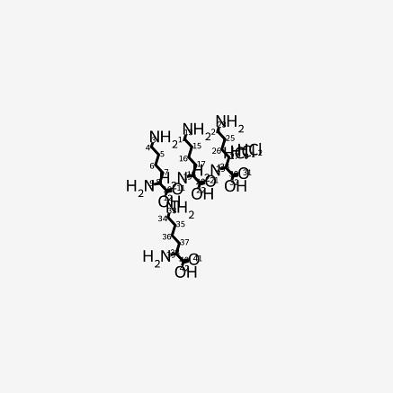 Cl.Cl.Cl.NCCCCC(N)C(=O)O.NCCCCC(N)C(=O)O.NCCCCC(N)C(=O)O.NCCCCC(N)C(=O)O